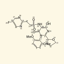 COc1cccc(OC)c1-n1c(C2CCCO2)nc(O)c(NS(=O)(=O)CCc2ncc(F)cn2)c1=O